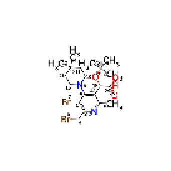 Cc1nc(CBr)c(Br)c(N2CCC(C)(C)CC2)c1C(OC(C)(C)C)C(=O)O